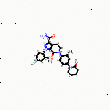 Cc1cc(N2CCCCC2=O)ccc1N1CCc2c(C(N)=O)nn(-c3ccc(F)cc3C)c2C1=O